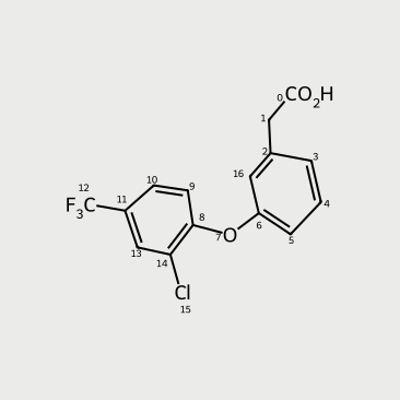 O=C(O)Cc1cccc(Oc2ccc(C(F)(F)F)cc2Cl)c1